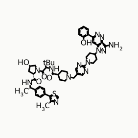 Cc1ncsc1-c1ccc([C@H](C)NC(=O)[C@@H]2C[C@@H](O)CN2C(=O)C(NC(=O)C2CCN(Cc3cnc(N4CCC(n5nc(N)c6nnc(-c7ccccc7O)cc65)CC4)nc3)CC2)C(C)(C)C)cc1